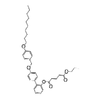 CCCCCCCCCCOc1ccc(COc2ccc(-c3ccccc3OC(=O)CCCC(=O)OCCC)cc2)cc1